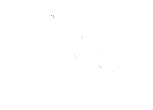 Cc1cccc([N+]2(c3ccccc3[N+](=O)[O-])C=CN=C2CC#N)c1